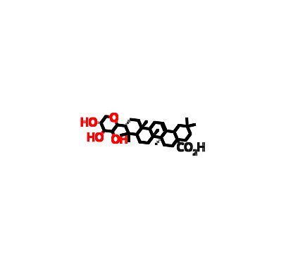 CC1(C)CC[C@]2(C(=O)O)CC[C@]3(C)C(=CCC4[C@@]5(C)CC[C@@H]([C@@H]6OC[C@@H](O)C(O)C6O)C(C)(C)C5CC[C@]43C)C2C1